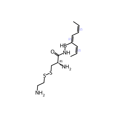 C\C=C/C=C(BNC(=O)[C@@H](N)CSSCCN)\C=C/C